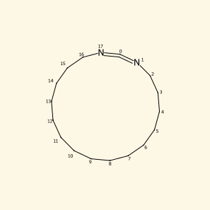 C1=NCCCCCCCCCCCCCCCN=1